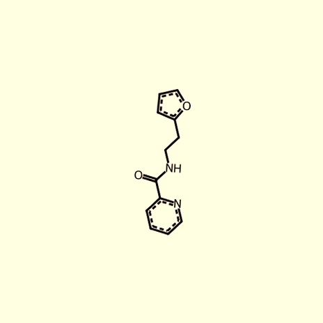 O=C(NCCc1ccco1)c1ccccn1